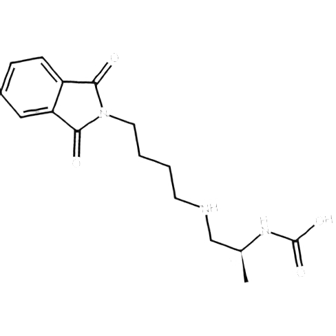 C[C@@H](CNCCCCN1C(=O)c2ccccc2C1=O)NC(=O)O